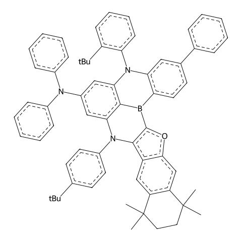 CC(C)(C)c1ccc(N2c3cc(N(c4ccccc4)c4ccccc4)cc4c3B(c3ccc(-c5ccccc5)cc3N4c3ccccc3C(C)(C)C)c3oc4cc5c(cc4c32)C(C)(C)CCC5(C)C)cc1